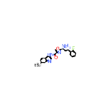 CC(C)(C)c1ccc2cc(NC(=O)c3coc([C@H](N)CCc4ccccc4F)n3)cnc2c1